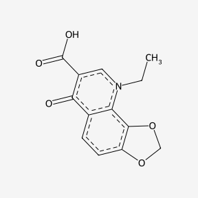 CCn1cc(C(=O)O)c(=O)c2ccc3c(c21)OCO3